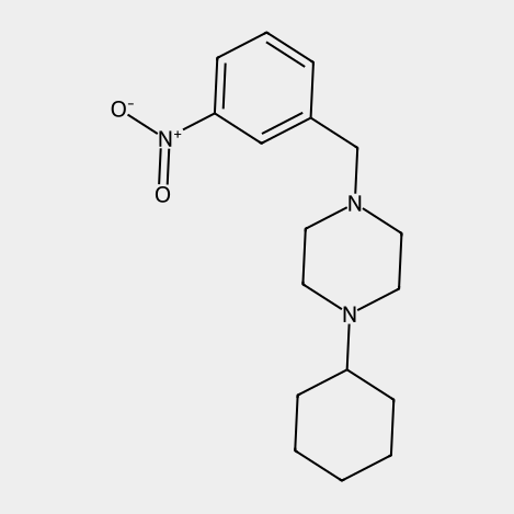 O=[N+]([O-])c1cccc(CN2CCN(C3CCCCC3)CC2)c1